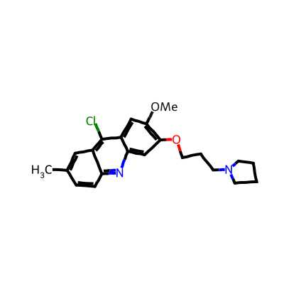 COc1cc2c(Cl)c3cc(C)ccc3nc2cc1OCCCN1CCCC1